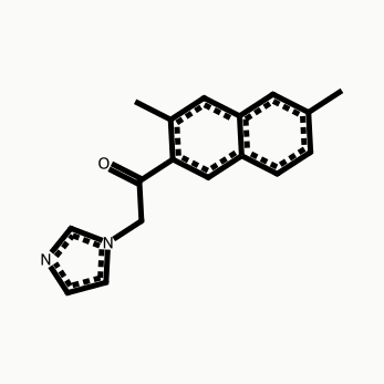 Cc1ccc2cc(C(=O)Cn3ccnc3)c(C)cc2c1